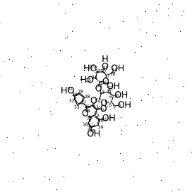 O=c1c(OC2O[C@H](CO)[C@@H](O)[C@H](O)[C@H]2OC2O[C@H](CO)[C@@H](O)[C@H](O)[C@H]2O)c(-c2ccc(O)cc2)oc2cc(O)cc(O)c12